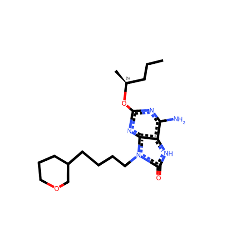 CCC[C@H](C)Oc1nc(N)c2[nH]c(=O)n(CCCCC3CCCOC3)c2n1